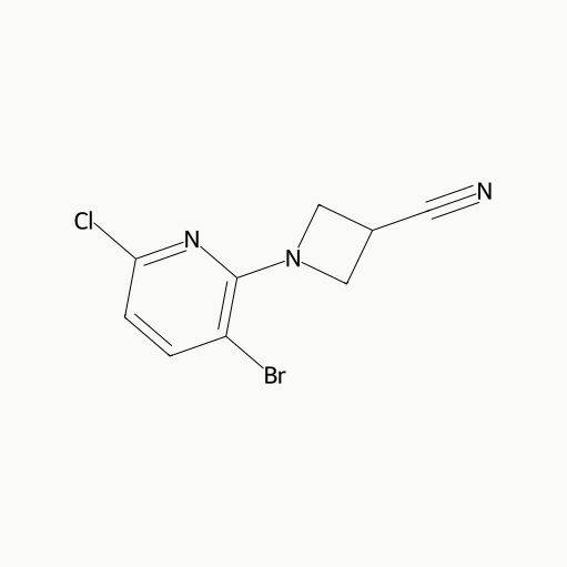 N#CC1CN(c2nc(Cl)ccc2Br)C1